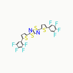 Fc1cc(-c2ccc(-c3nc4sc(-c5ccc(-c6cc(F)c(F)c(F)c6F)s5)nc4s3)s2)c(F)c(F)c1F